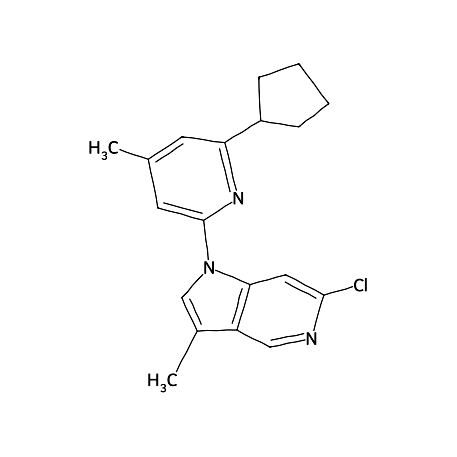 Cc1cc(C2CCCC2)nc(-n2cc(C)c3cnc(Cl)cc32)c1